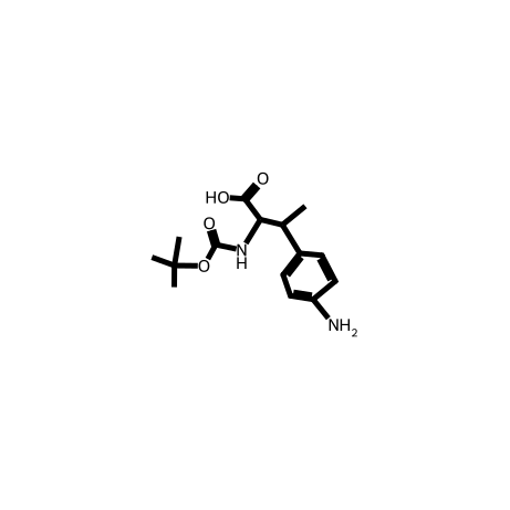 CC(c1ccc(N)cc1)C(NC(=O)OC(C)(C)C)C(=O)O